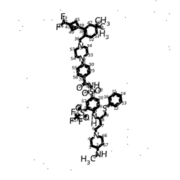 CNC1CCN(CCC(CSc2ccccc2)Nc2ccc(S(=O)(=O)NC(=O)c3ccc(N4CCN(CC5=C(C67CC(C(F)F)(C6)C7)CC(C)(C)CC5)CC4)cc3)cc2S(=O)(=O)C(F)(F)F)CC1